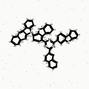 c1ccc2cc(-c3nc(-c4ccc5c(c4)sc4ccccc45)nc(-c4ccc(-n5c6ccccc6c6cc7ccccc7cc65)c5sc6ccccc6c45)n3)ccc2c1